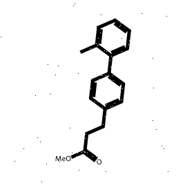 COC(=O)CCc1ccc(-c2ccccc2C)cc1